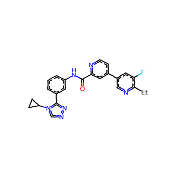 CCc1ncc(-c2ccnc(C(=O)Nc3cccc(-c4nncn4C4CC4)c3)c2)cc1F